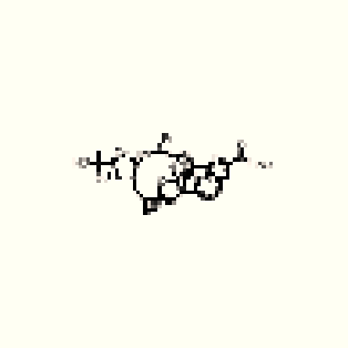 CCC(C)(O)C(=O)N[C@H]1Cc2ccc3c(c2)C2(c4ccccc4N[C@H]2O3)c2oc(nc2-c2nc(C(=O)OC)co2)[C@H](C(C)C)NC1=O